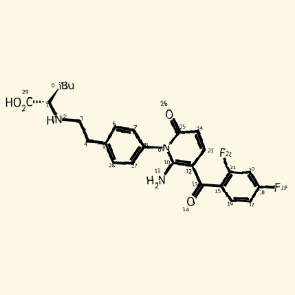 CC[C@H](C)[C@H](NCCc1ccc(-n2c(N)c(C(=O)c3ccc(F)cc3F)ccc2=O)cc1)C(=O)O